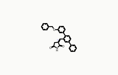 O=C1C/C(=C/c2cc(-c3ccccc3)ccc2-c2cccc(OCc3ccccc3)c2)C(=O)N1